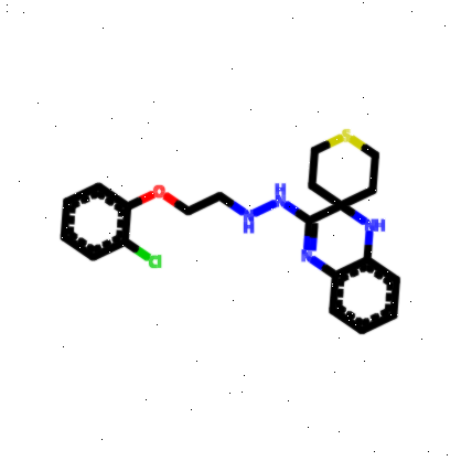 Clc1ccccc1OCCNNC1=Nc2ccccc2NC12CCSCC2